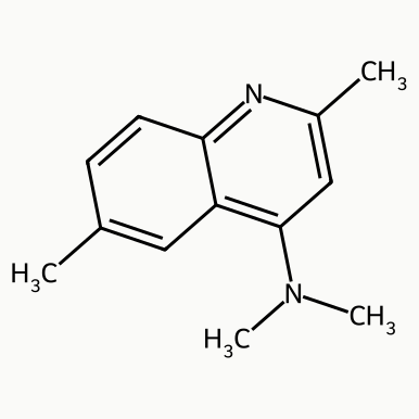 Cc1ccc2nc(C)cc(N(C)C)c2c1